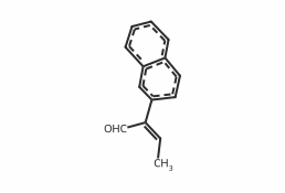 CC=C(C=O)c1ccc2ccccc2c1